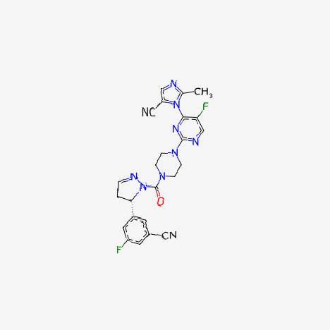 Cc1ncc(C#N)n1-c1nc(N2CCN(C(=O)N3N=CC[C@H]3c3cc(F)cc(C#N)c3)CC2)ncc1F